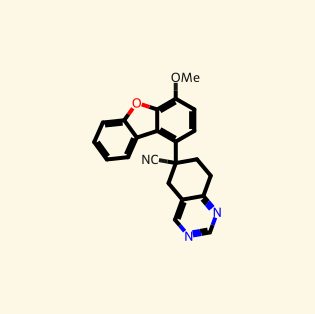 COc1ccc(C2(C#N)CCc3ncncc3C2)c2c1oc1ccccc12